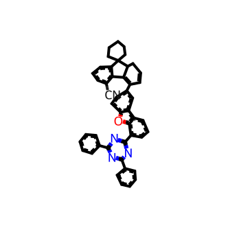 N#Cc1cccc2c1C1=C(c3ccc4oc5c(-c6nc(-c7ccccc7)nc(-c7ccccc7)n6)cccc5c4c3)C=CCC1C21CCCCC1